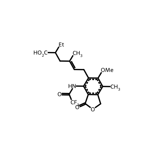 CCC(C/C(C)=C/Cc1c(NC(=O)C(F)(F)F)c2c(c(C)c1OC)COC2=O)C(=O)O